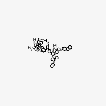 CC(C)(C)OC(=O)c1cc2c(NC(=O)C[C@H](NC(=O)OCc3ccc4c(c3)Cc3ccccc3-4)c3ccc(N4CCN([C@H]5CCOC5)CC4=O)cc3)cccc2n1C(=O)OC(C)(C)C